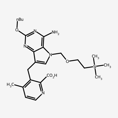 CCCCOc1nc(N)c2c(n1)c(Cc1c(C)ccnc1C(=O)O)cn2COCC[Si](C)(C)C